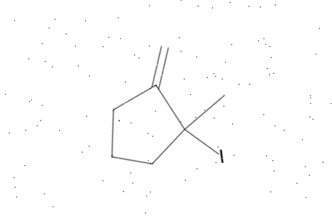 C=C1CCCC1(C)I